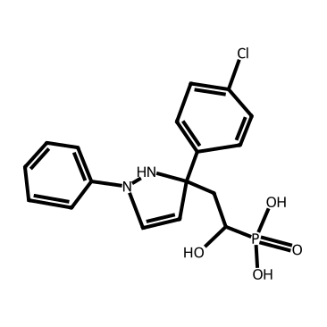 O=P(O)(O)C(O)CC1(c2ccc(Cl)cc2)C=CN(c2ccccc2)N1